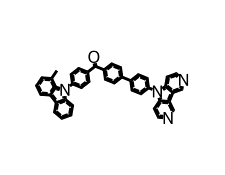 Cc1cccc2c3ccccc3n(-c3ccc(C(=O)c4ccc(-c5ccc(-n6c7ccncc7c7cnccc76)cc5)cc4)cc3)c12